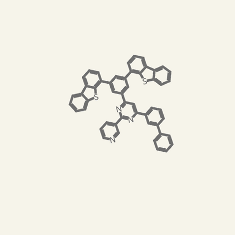 c1ccc(-c2cccc(-c3cc(-c4cc(-c5cccc6c5sc5ccccc56)cc(-c5cccc6c5sc5ccccc56)c4)nc(-c4cccnc4)n3)c2)cc1